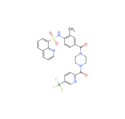 Cc1cc(C(=O)N2CCN(C(=O)c3ccc(C(F)(F)F)cn3)CC2)ccc1NS(=O)(=O)c1cccc2cccnc12